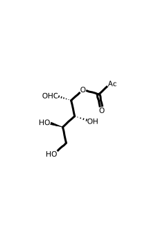 CC(=O)C(=O)O[C@@H](C=O)[C@H](O)[C@H](O)CO